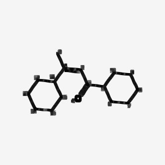 C/C(=C/C(=O)C1CCCCC1)C1CCCCC1